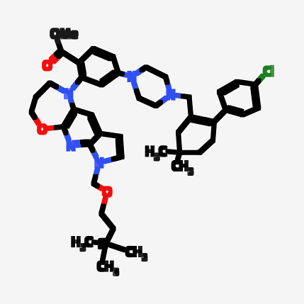 COC(=O)c1ccc(N2CCN(CC3=C(c4ccc(Cl)cc4)CCC(C)(C)C3)CC2)cc1N1CCCOc2nc3c(ccn3COCC[Si](C)(C)C)cc21